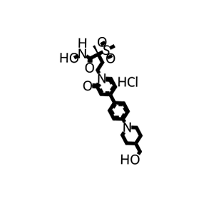 C[C@@](CCn1ccc(-c2ccc(N3CCC(CO)CC3)cc2)cc1=O)(C(=O)NO)S(C)(=O)=O.Cl